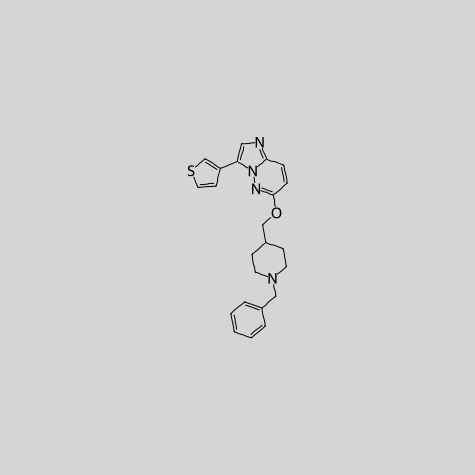 c1ccc(CN2CCC(COc3ccc4ncc(-c5ccsc5)n4n3)CC2)cc1